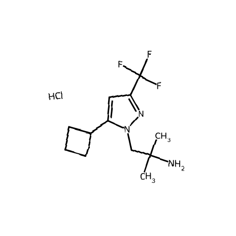 CC(C)(N)Cn1nc(C(F)(F)F)cc1C1CCC1.Cl